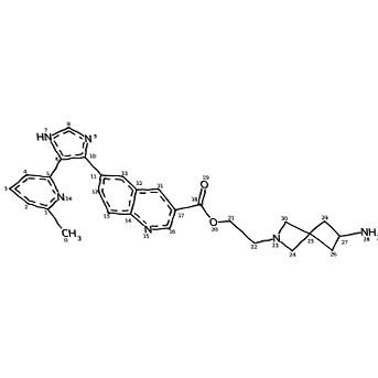 Cc1cccc(-c2[nH]cnc2-c2ccc3ncc(C(=O)OCCN4CC5(CC(N)C5)C4)cc3c2)n1